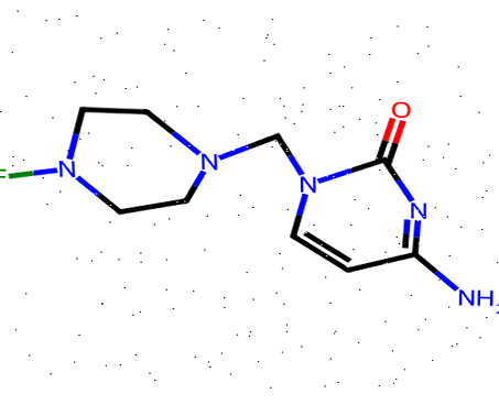 Nc1ccn(CN2CCN(F)CC2)c(=O)n1